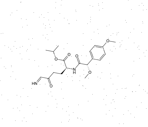 COc1ccc([C@H](OC)C(=O)N[C@@H](CCC(=O)C=N)C(=O)OC(C)C)cc1